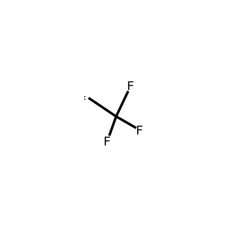 [CH]C(F)(F)F